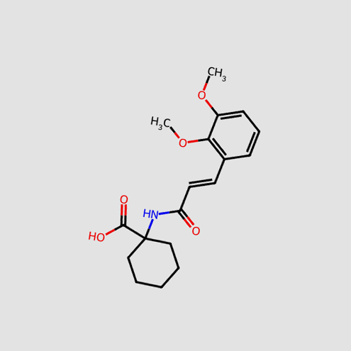 COc1cccc(C=CC(=O)NC2(C(=O)O)CCCCC2)c1OC